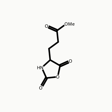 COC(=O)CCC1NC(=O)OC1=O